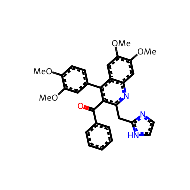 COc1ccc(-c2c(C(=O)c3ccccc3)c(Cc3ncc[nH]3)nc3cc(OC)c(OC)cc23)cc1OC